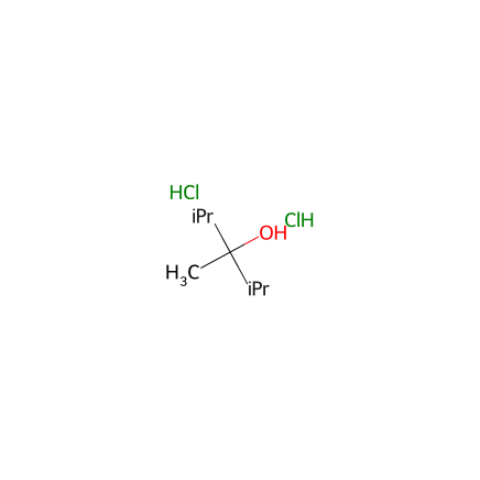 CC(C)C(C)(O)C(C)C.Cl.Cl